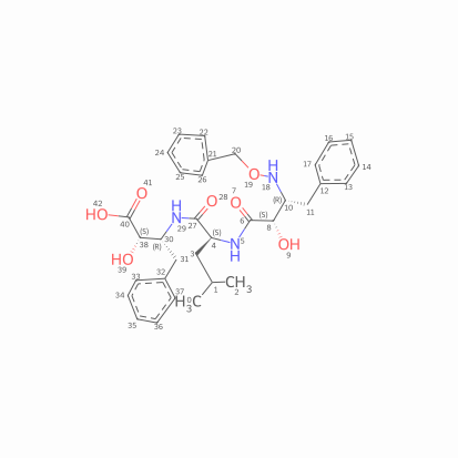 CC(C)C[C@H](NC(=O)[C@@H](O)[C@@H](Cc1ccccc1)NOCc1ccccc1)C(=O)N[C@H](Cc1ccccc1)[C@H](O)C(=O)O